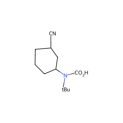 CC(C)(C)N(C(=O)O)C1CCCC(C#N)C1